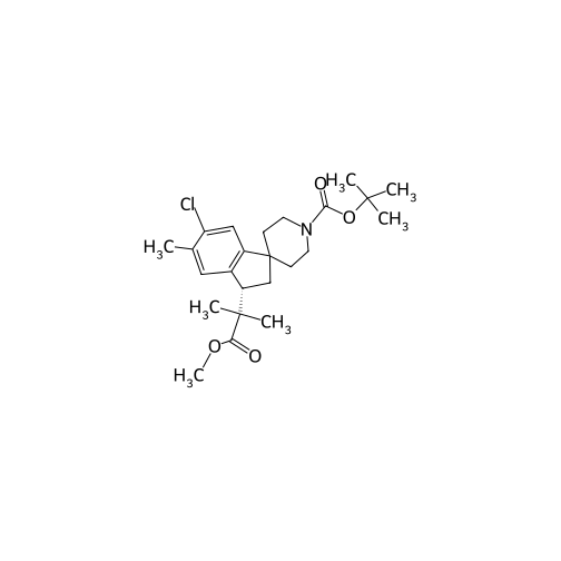 COC(=O)C(C)(C)[C@H]1CC2(CCN(C(=O)OC(C)(C)C)CC2)c2cc(Cl)c(C)cc21